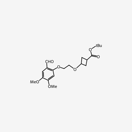 COc1cc(C=O)c(OCCOC2CC(C(=O)OC(C)(C)C)C2)cc1OC